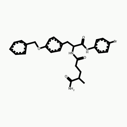 CC(C[CH]C(=O)NC(Cc1ccc(OCc2ccccc2)cc1)C(=O)Nc1ccc(Br)cc1)C(N)=O